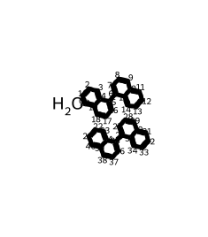 O.c1ccc2c(-c3cccc4ccccc34)cccc2c1.c1ccc2c(-c3cccc4ccccc34)cccc2c1